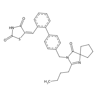 CCCCC1=NC2(CCCC2)C(=O)N1Cc1ccc(-c2ccccc2C=C2SC(=O)NC2=O)cc1